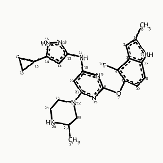 Cc1cc2c(F)c(Oc3nc(Nc4cc(C5CC5)[nH]n4)cc(N4CCNC(C)C4)n3)ccc2[nH]1